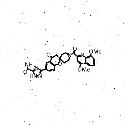 COc1cc(C(=O)N2CCC3(CC2)CC(=O)c2cc(-c4n[nH]c(C(N)=O)n4)ccc2O3)nc2c(OC)cccc12